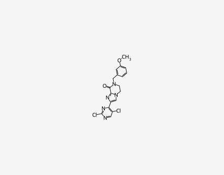 COc1cccc(CN2CCn3cc(-c4nc(Cl)ncc4Cl)nc3C2=O)c1